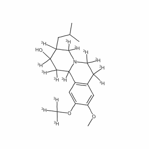 [2H]C([2H])([2H])Oc1cc2c(cc1OC)C([2H])([2H])C([2H])([2H])N1C([2H])([2H])C([2H])(CC(C)C)C([2H])(O)C([2H])([2H])C21[2H]